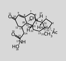 CC(=O)[C@H]1CC[C@H]2[C@@H]3CCC4=CC(=O)CC([CH]C(=O)NO)[C@]4(C)[C@H]3CC[C@]12C